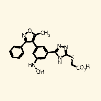 Cc1onc(-c2ccccc2)c1-c1cc(NO)cc(-c2nnc(SCC(=O)O)[nH]2)c1